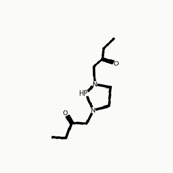 CCC(=O)CN1CCN(CC(=O)CC)P1